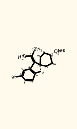 BC(B)=C1c2cc(Br)ccc2C[C@]12CC[C@@H](OC)CC2